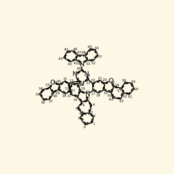 c1ccc2cc3c(cc2c1)c1ccccc1n3-c1cc2c(cc1-c1nc(-c3ccc4c(c3)oc3ccccc34)nc(-n3c4ccccc4c4ccccc43)n1)oc1c3ccccc3ccc21